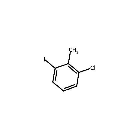 Cc1c(Cl)cccc1I